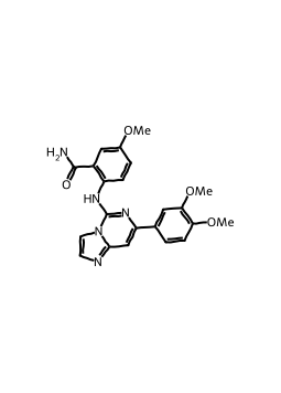 COc1ccc(Nc2nc(-c3ccc(OC)c(OC)c3)cc3nccn23)c(C(N)=O)c1